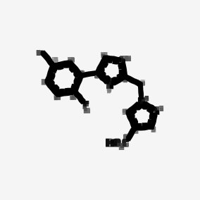 CCOC(=O)c1cnn(Cc2nc(-c3cc(C)ccc3F)cs2)c1